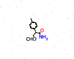 Cc1ccc(C(CC=O)C(N)=O)cc1